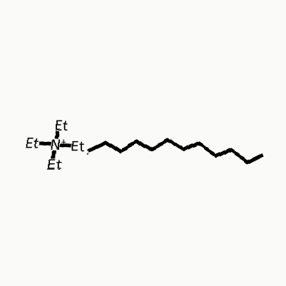 CC[N+](CC)(CC)CC.[CH2]CCCCCCCCCCC